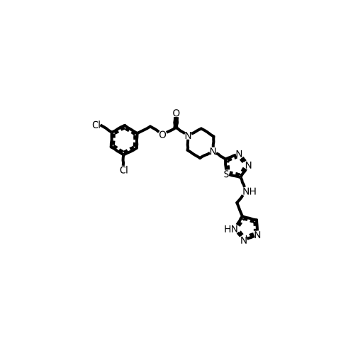 O=C(OCc1cc(Cl)cc(Cl)c1)N1CCN(c2nnc(NCc3cnn[nH]3)s2)CC1